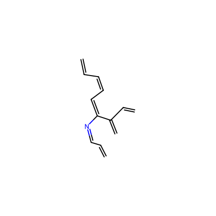 C=C\C=C/C=C(/N=C\C=C)C(=C)C=C